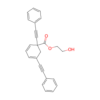 O=C(OCCO)C1(C#Cc2ccccc2)C=CC=C(C#Cc2ccccc2)C1